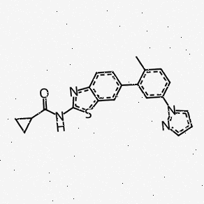 Cc1ccc(-n2cccn2)cc1-c1ccc2nc(NC(=O)C3CC3)sc2c1